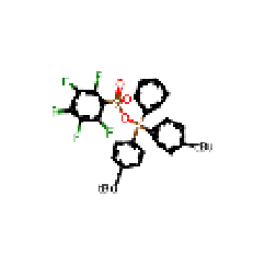 CC(C)(C)c1ccc(S(OS(=O)(=O)c2c(F)c(F)c(F)c(F)c2F)(c2ccccc2)c2ccc(C(C)(C)C)cc2)cc1